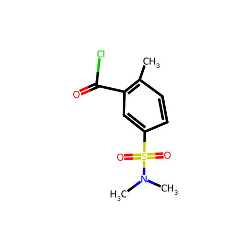 Cc1ccc(S(=O)(=O)N(C)C)cc1C(=O)Cl